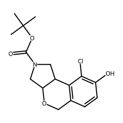 CC(C)(C)OC(=O)N1CC2OCc3ccc(O)c(Cl)c3C2C1